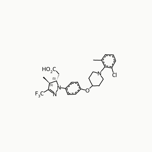 Cc1cccc(Cl)c1N1CCC(Oc2ccc(N3N=C(C(F)(F)F)[C@@H](C)[C@@H]3CC(=O)O)cc2)CC1